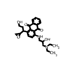 CCN(CC)CC(O)CNc1ccc(C(CCO)C2CO2)c2c1C(=O)c1ccccc1C2=O